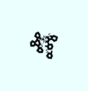 Cc1ccccc1Sc1cccc(-c2nc(-n3c4ccccc4c4c5ccccc5c5c6ccccc6sc5c43)nc3sc4ccccc4c23)c1C